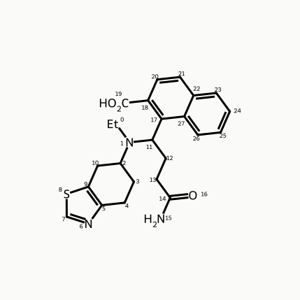 CCN(C1CCc2ncsc2C1)C(CCC(N)=O)c1c(C(=O)O)ccc2ccccc12